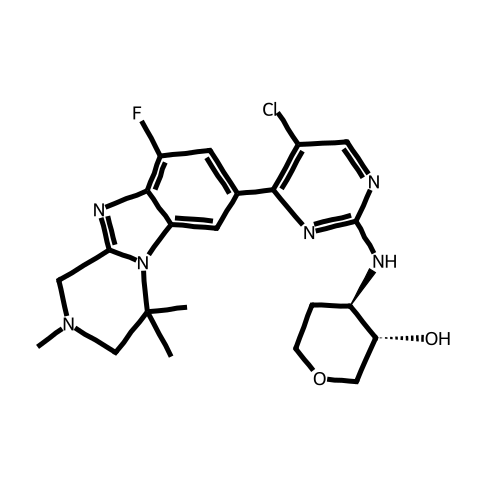 CN1Cc2nc3c(F)cc(-c4nc(N[C@@H]5CCOC[C@H]5O)ncc4Cl)cc3n2C(C)(C)C1